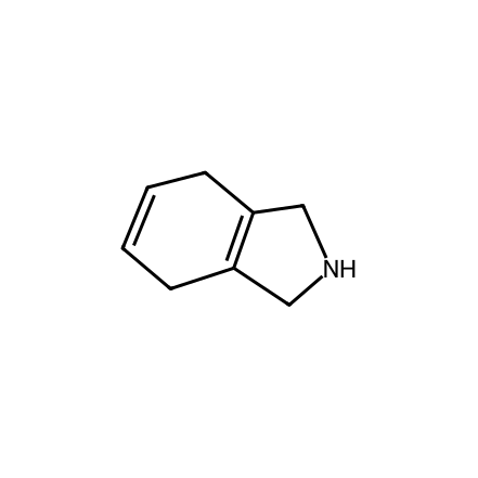 C1=CCC2=C(C1)CNC2